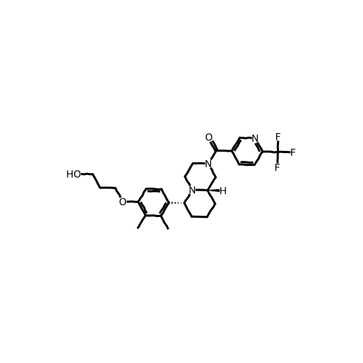 Cc1c(OCCCO)ccc([C@H]2CCC[C@H]3CN(C(=O)c4ccc(C(F)(F)F)nc4)CCN32)c1C